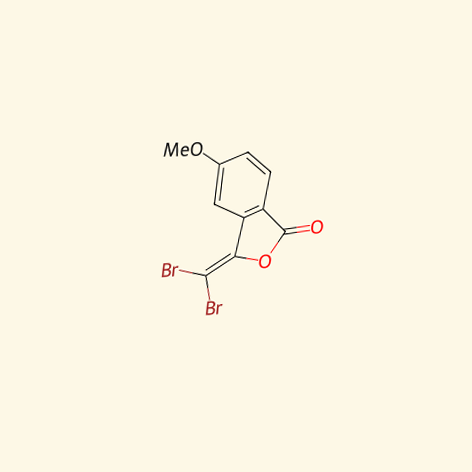 COc1ccc2c(c1)C(=C(Br)Br)OC2=O